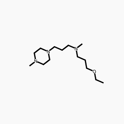 CCOCCCN(C)CCCN1CCN(C)CC1